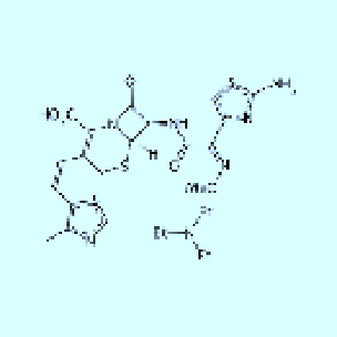 CCN(CC)CC.CO/N=C(\C(=O)N[C@@H]1C(=O)N2C(C(=O)O)=C(/C=C\c3scnc3C)CS[C@H]12)c1csc(N)n1